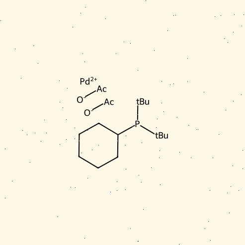 CC(=O)[O-].CC(=O)[O-].CC(C)(C)P(C1CCCCC1)C(C)(C)C.[Pd+2]